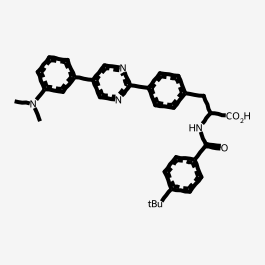 CN(C)c1cccc(-c2cnc(-c3ccc(CC(NC(=O)c4ccc(C(C)(C)C)cc4)C(=O)O)cc3)nc2)c1